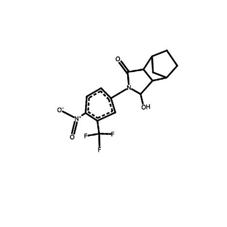 O=C1C2C3CCC(C3)C2C(O)N1c1ccc([N+](=O)[O-])c(C(F)(F)F)c1